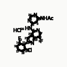 CC(=O)Nc1cc(Nc2ncc(F)c3nn(-c4c(F)cccc4Cl)cc23)ncn1.Cl